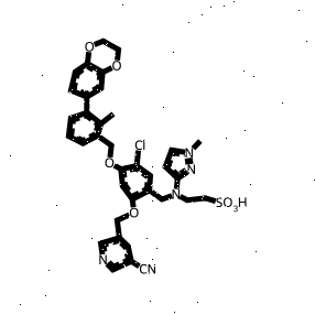 Cc1c(COc2cc(OCc3cncc(C#N)c3)c(CN(CCS(=O)(=O)O)c3ccn(C)n3)cc2Cl)cccc1-c1ccc2c(c1)OCCO2